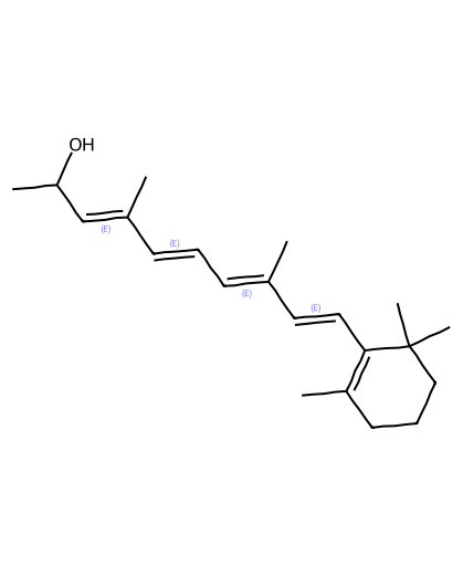 CC1=C(/C=C/C(C)=C/C=C/C(C)=C/C(C)O)C(C)(C)CCC1